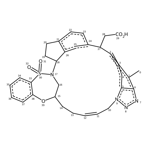 Cc1c2ccc3c1nnn3CC=CCCC1CN(C3CCc4ccc(cc43)C2CC(=O)O)S(=O)(=O)c2ccccc2O1